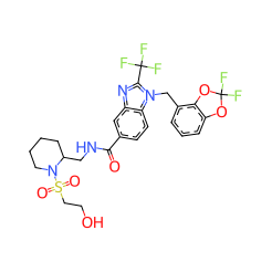 O=C(NCC1CCCCN1S(=O)(=O)CCO)c1ccc2c(c1)nc(C(F)(F)F)n2Cc1cccc2c1OC(F)(F)O2